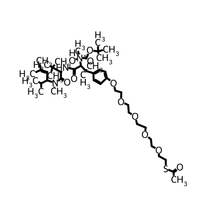 CC(=O)SCCOCCOCCOCCOCCOc1ccc(C(C)(C)C(C(=O)NC(C(=O)N(C)C(C=C(C)C)C(C)C)C(C)(C)C)[N+](C)(O)C(=O)OC(C)(C)C)cc1